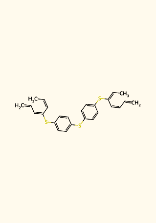 C=C/C=C\C(=C/C)Sc1ccc(Sc2ccc(SC(/C=C\C)=C/C=C)cc2)cc1